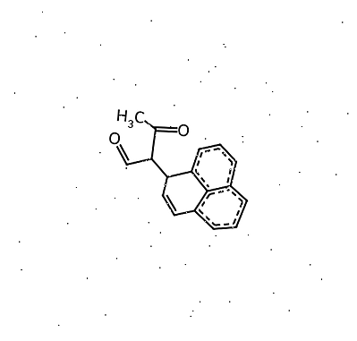 CC(=O)C([C]=O)C1C=Cc2cccc3cccc1c23